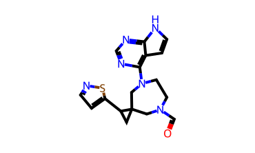 O=CN1CCN(c2ncnc3[nH]ccc23)CC2(CC2c2ccns2)C1